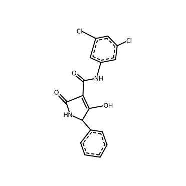 O=C(Nc1cc(Cl)cc(Cl)c1)C1=C(O)C(c2ccccc2)NC1=O